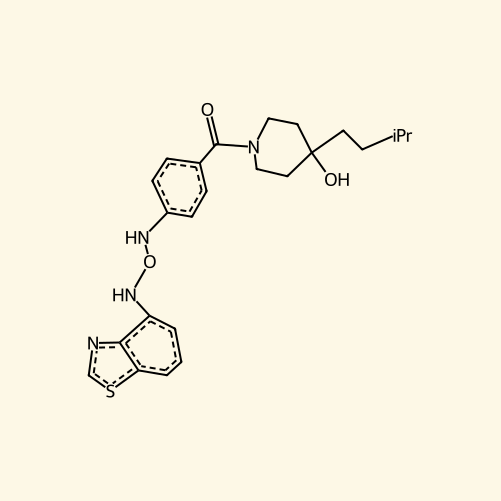 CC(C)CCC1(O)CCN(C(=O)c2ccc(NONc3cccc4scnc34)cc2)CC1